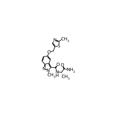 Cc1ncc(COc2ccc3nn(C)c(C(=O)N[C@@H](C)C(N)=O)c3c2)s1